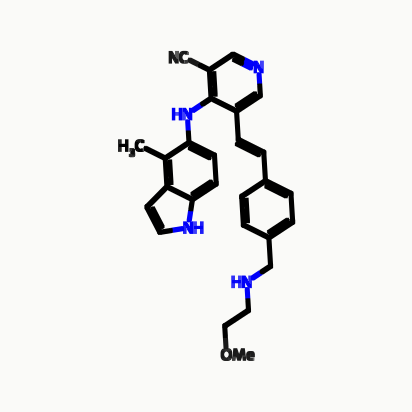 COCCNCc1ccc(/C=C/c2cncc(C#N)c2Nc2ccc3[nH]ccc3c2C)cc1